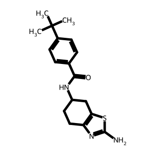 CC(C)(C)c1ccc(C(=O)NC2CCc3nc(N)sc3C2)cc1